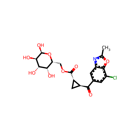 Cc1nc2cc(C(=O)[C@H]3C[C@@H]3C(=O)OC[C@H]3O[C@H](O)[C@H](O)[C@@H](O)[C@H]3O)cc(Cl)c2o1